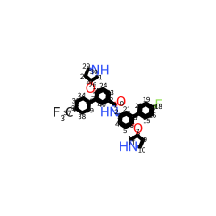 O=C(Nc1ccc(OC2CCNC2)c(-c2ccc(F)cc2)c1)c1ccc(OC2CCNC2)c(C2CCC(C(F)(F)F)CC2)c1